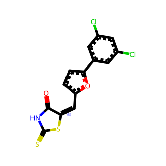 O=C1NC(=S)S/C1=C/c1ccc(-c2cc(Cl)cc(Cl)c2)o1